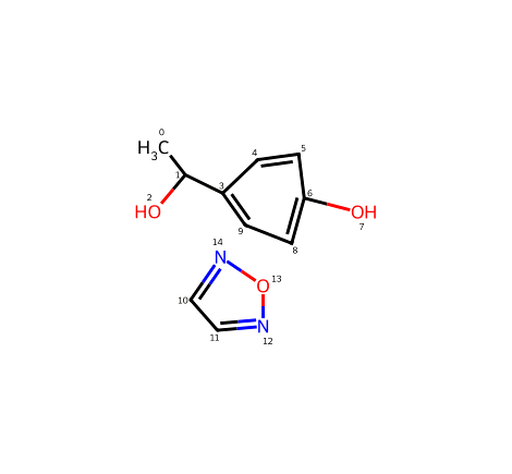 CC(O)c1ccc(O)cc1.c1cnon1